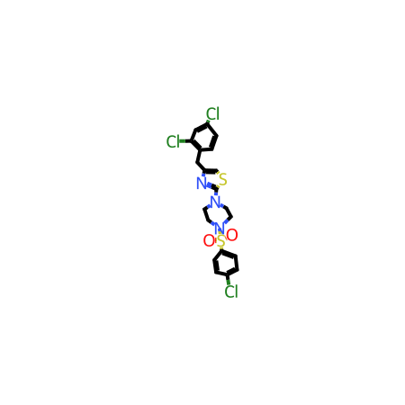 O=S(=O)(c1ccc(Cl)cc1)N1CCN(c2nc(Cc3ccc(Cl)cc3Cl)cs2)CC1